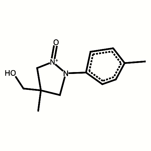 Cc1ccc(N2CC(C)(CO)C[N+]2=O)cc1